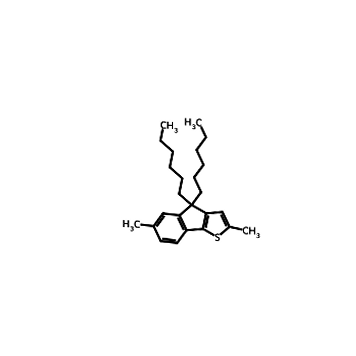 CCCCCCC1(CCCCCC)c2cc(C)ccc2-c2sc(C)cc21